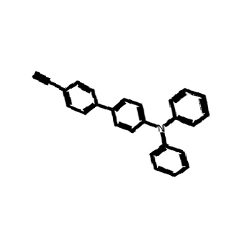 C#Cc1ccc(-c2ccc(N(c3ccccc3)c3ccccc3)cc2)cc1